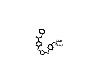 CO[C@@H](Cc1ccc(OC2CCC(Oc3ccc(C(=O)Cc4ccccc4)cc3)C2)cc1)C(=O)O